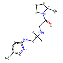 CC(C)(CNc1ccc(C#N)cn1)NCC(=O)N1CCCC1C#N